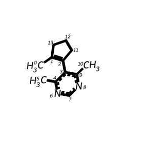 CC1=C(c2c(C)ncnc2C)CCC1